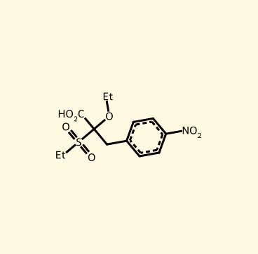 CCOC(Cc1ccc([N+](=O)[O-])cc1)(C(=O)O)S(=O)(=O)CC